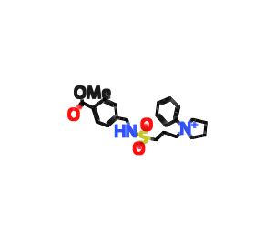 COC(=O)c1ccc(CNS(=O)(=O)CCC[N+]2(c3ccccc3)CCCC2)cc1